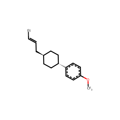 CCC=CC[C@H]1CC[C@H](c2ccc(OC(F)(F)F)cc2)CC1